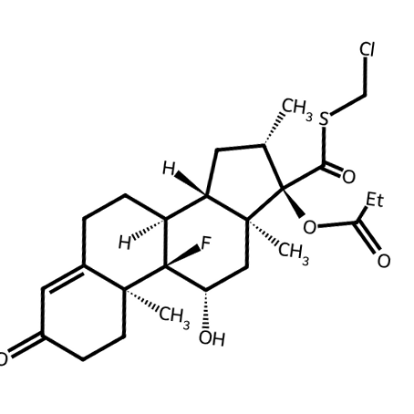 CCC(=O)O[C@]1(C(=O)SCCl)[C@@H](C)C[C@H]2[C@@H]3CCC4=CC(=O)CC[C@]4(C)[C@@]3(F)[C@@H](O)C[C@@]21C